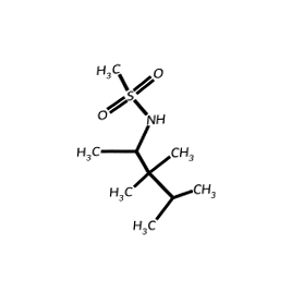 CC(C)C(C)(C)C(C)NS(C)(=O)=O